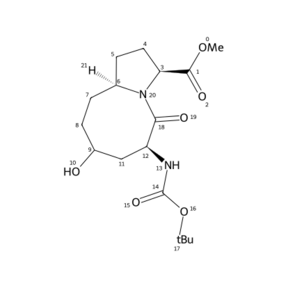 COC(=O)[C@@H]1CC[C@@H]2CCC(O)C[C@H](NC(=O)OC(C)(C)C)C(=O)N21